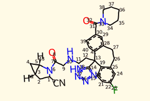 N#CC1C[C@@H]2C[C@@H]2N1C(=O)CNCCC1(c2nnn[nH]2)c2ccc(F)cc2CCc2cc(C(=O)N3CCCCC3)ccc21